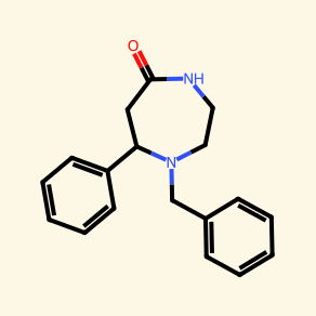 O=C1CC(c2ccccc2)N(Cc2ccccc2)CCN1